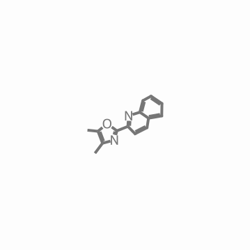 Cc1nc(-c2ccc3ccccc3n2)oc1C